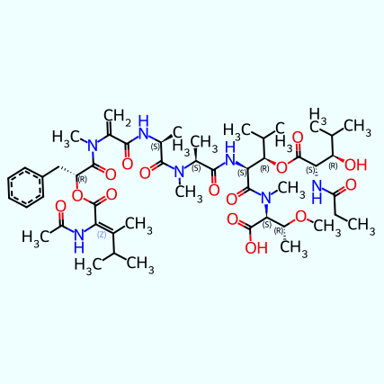 C=C(C(=O)N[C@@H](C)C(=O)N(C)[C@@H](C)C(=O)N[C@H](C(=O)N(C)[C@H](C(=O)O)[C@@H](C)OC)[C@H](OC(=O)[C@@H](NC(=O)CC)[C@H](O)C(C)C)C(C)C)N(C)C(=O)[C@@H](Cc1ccccc1)OC(=O)/C(NC(C)=O)=C(\C)C(C)C